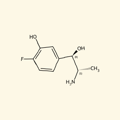 C[C@H](N)[C@H](O)c1ccc(F)c(O)c1